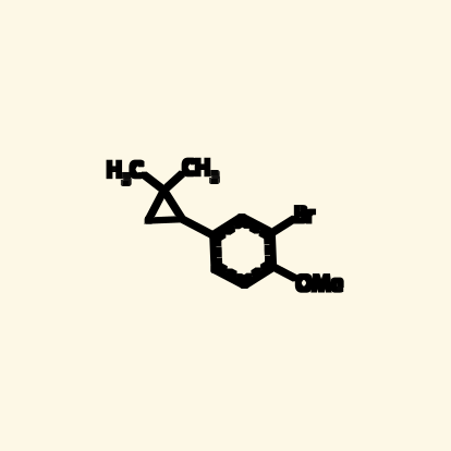 COc1ccc(C2CC2(C)C)cc1Br